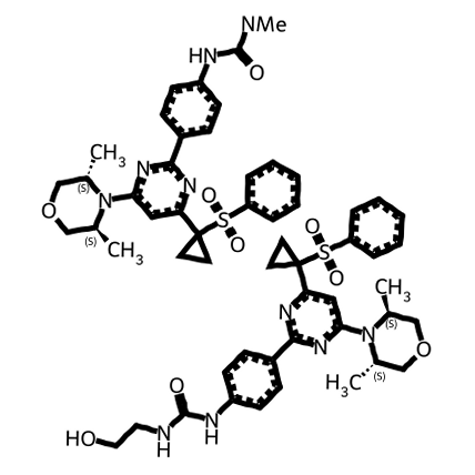 CNC(=O)Nc1ccc(-c2nc(N3[C@@H](C)COC[C@@H]3C)cc(C3(S(=O)(=O)c4ccccc4)CC3)n2)cc1.C[C@H]1COC[C@H](C)N1c1cc(C2(S(=O)(=O)c3ccccc3)CC2)nc(-c2ccc(NC(=O)NCCO)cc2)n1